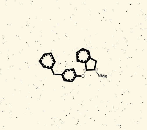 CN[C@H]1Cc2ccccc2[C@H]1Oc1ccc(Cc2ccccc2)cc1